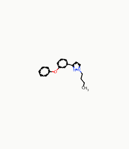 CCCCn1ccc(-c2cccc(Oc3ccccc3)c2)n1